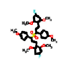 COc1ccc(C(C=Cc2c(OC)cc(F)cc2OC)S(=O)(=O)C(C=Cc2c(OC)cc(F)cc2OC)c2ccc(OC)cc2)cc1